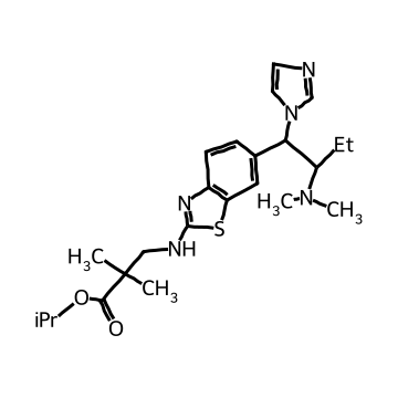 CCC(C(c1ccc2nc(NCC(C)(C)C(=O)OC(C)C)sc2c1)n1ccnc1)N(C)C